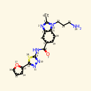 CCc1nc2cc(C(=O)Nc3nnc(-c4ccco4)s3)ccc2n1CCCN